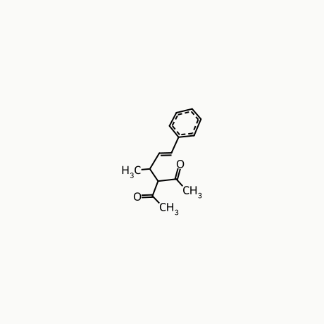 CC(=O)C(C(C)=O)C(C)/C=C/c1ccccc1